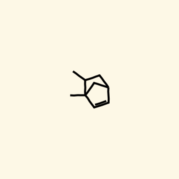 CC1CC2C=CC1(C)C2